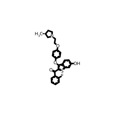 C[C@H]1CCN(CCOc2ccc(Oc3c(C(=O)c4ccccc4F)sc4cc(O)ccc34)cc2)C1